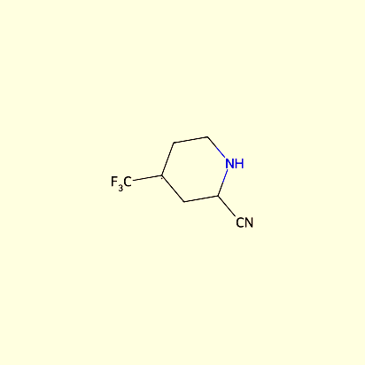 N#CC1C[C](C(F)(F)F)CCN1